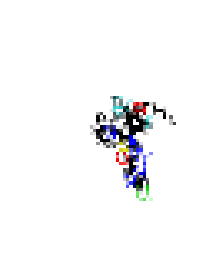 COc1c(F)cc(-c2nc(NC(=O)c3cnc(Cl)cn3)sc2CN2CCC[C@H]2C)cc1C(F)(F)F